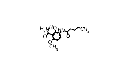 CCCCC(=O)Nc1ccc(OC)c(C(N)=O)c1O